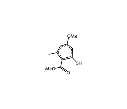 COC(=O)c1c(C)cc(OC)cc1S